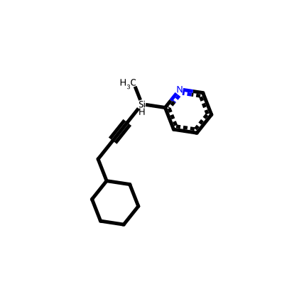 C[SiH](C#CCC1CCCCC1)c1ccccn1